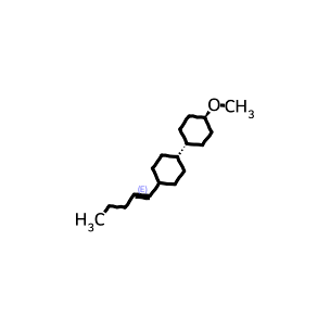 CCC/C=C/C1CCC([C@H]2CC[C@H](OC)CC2)CC1